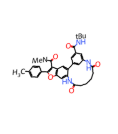 CNC(=O)c1c(-c2ccc(C)cc2)oc2cc3c(cc12)-c1cc(cc(C(=O)NC(C)(C)C)c1)NC(=O)CCCCC(=O)N3